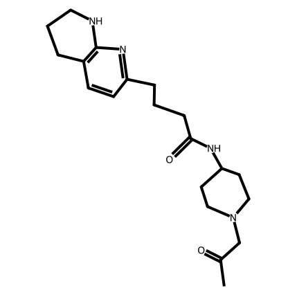 CC(=O)CN1CCC(NC(=O)CCCc2ccc3c(n2)NCCC3)CC1